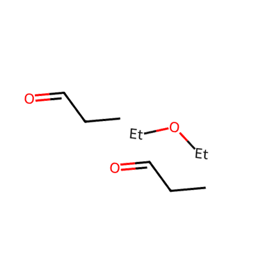 CCC=O.CCC=O.CCOCC